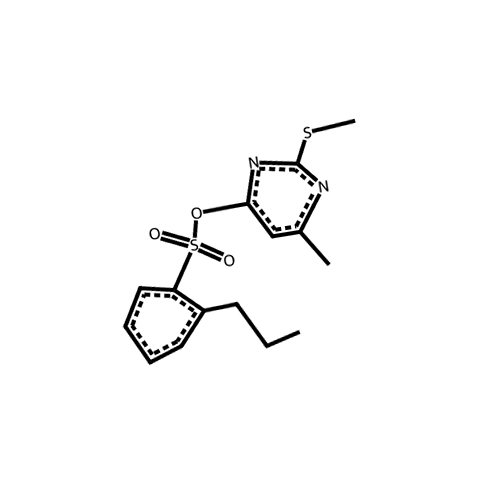 CCCc1ccccc1S(=O)(=O)Oc1cc(C)nc(SC)n1